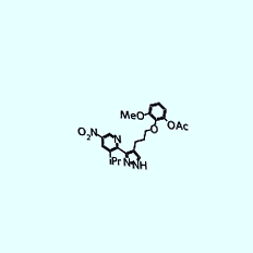 COc1cccc(OC(C)=O)c1OCCCc1c[nH]nc1-c1ncc([N+](=O)[O-])cc1C(C)C